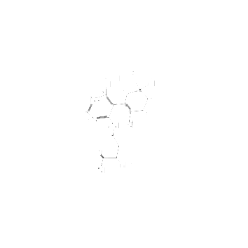 CCCC(CCNc1ncnc(C)c1C1=C(S)CCC(C)(C)C1)C(N)=O